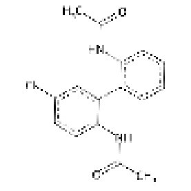 CC(=O)Nc1ccccc1-c1cc(Cl)ccc1NC(C)=O